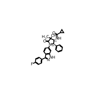 CC1(C)C(=O)N(c2ccc3c(-c4ccc(F)cc4)n[nH]c3c2)[C@H](c2ccccc2)[C@H]1NC(=O)C1CC1